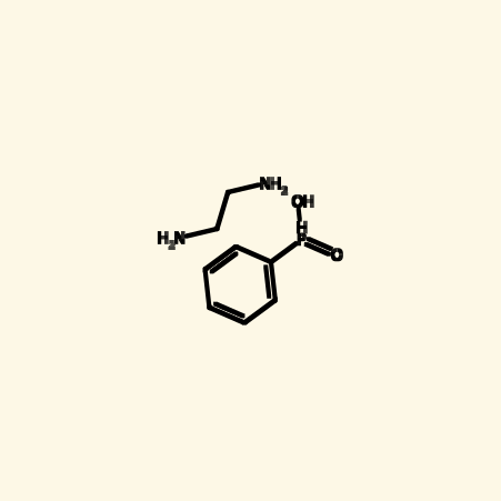 NCCN.O=[PH](O)c1ccccc1